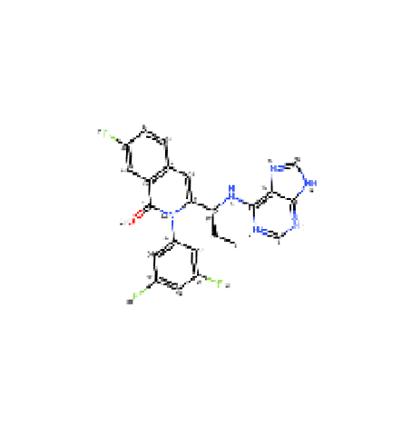 CC[C@H](Nc1ncnc2[nH]cnc12)c1cc2ccc(F)cc2c(=O)n1-c1cc(F)cc(F)c1